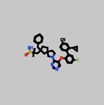 CC(C)(CC1(Cc2ccccc2)CCC2(CCN(c3ncncc3Oc3ccc(F)cc3-c3ccc(C#N)cc3C3CC3)C2)C1)[S+](N)[O-]